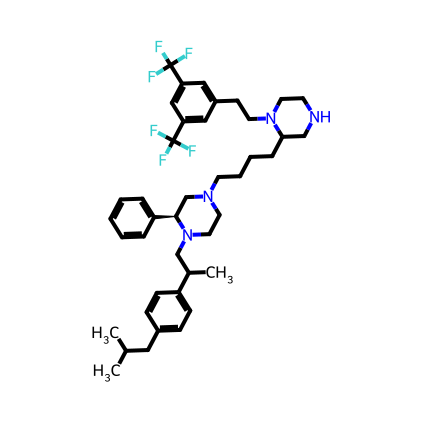 CC(C)Cc1ccc(C(C)CN2CCN(CCCCC3CNCCN3CCc3cc(C(F)(F)F)cc(C(F)(F)F)c3)C[C@@H]2c2ccccc2)cc1